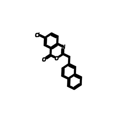 O=c1oc(Cc2ccc3ccccc3c2)nc2ccc(Cl)cc12